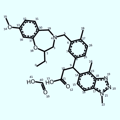 CCC1CN(Cc2cc(C(CC(=O)O)c3ccc4c(nnn4C)c3C)ccc2C)Cc2ccc(OC)cc2O1.O=CO